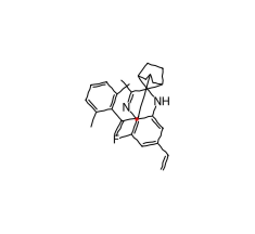 C=Cc1cc(F)c2c(c1)NC1(C(C)=N2)C2CCC1CC(CC(=C)c1c(C)cccc1C)C2